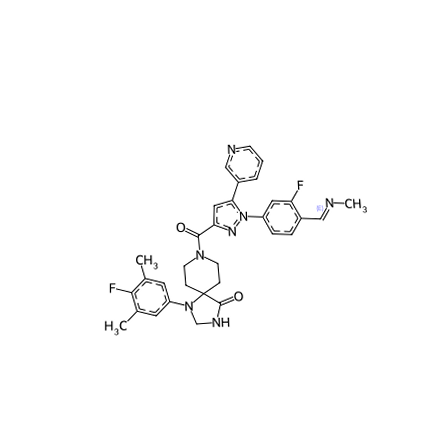 C/N=C/c1ccc(-n2nc(C(=O)N3CCC4(CC3)C(=O)NCN4c3cc(C)c(F)c(C)c3)cc2-c2cccnc2)cc1F